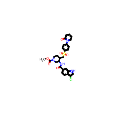 COC(=O)N1CCC(CS(=O)(=O)c2ccc(-n3ccccc3=O)cc2)C(NC(=O)c2ccc3c(Cl)c[nH]c3c2)C1